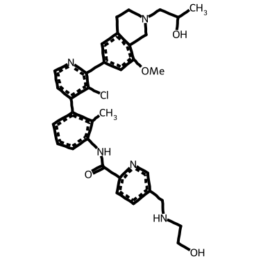 COc1cc(-c2nccc(-c3cccc(NC(=O)c4ccc(CNCCO)cn4)c3C)c2Cl)cc2c1CN(CC(C)O)CC2